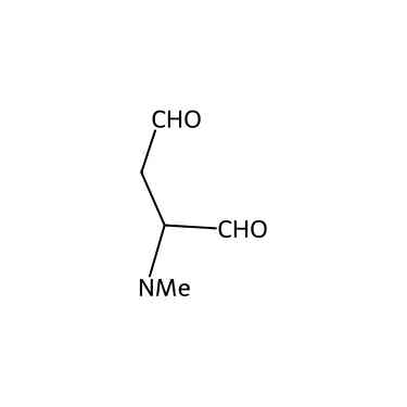 CNC(C=O)CC=O